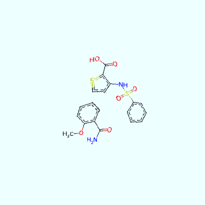 COc1ccccc1C(N)=O.O=C(O)c1sccc1NS(=O)(=O)c1ccccc1